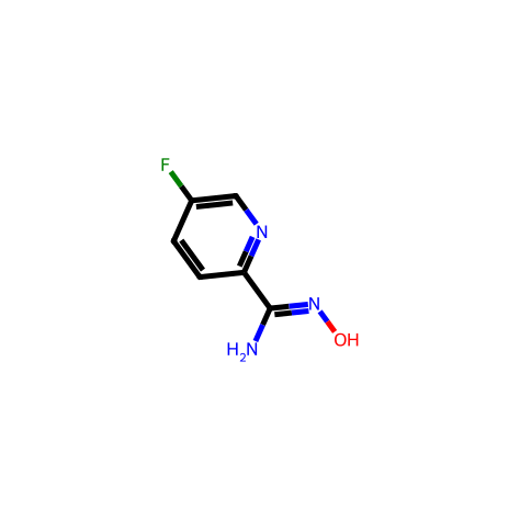 N/C(=N\O)c1ccc(F)cn1